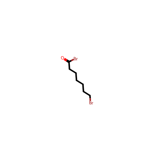 O=C(Br)CCCCCCBr